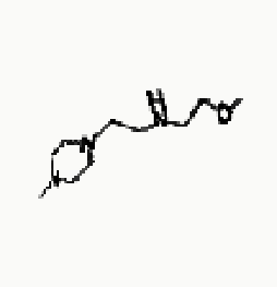 COCCNCCN1CCN(C)CC1